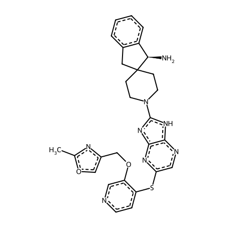 Cc1nc(COc2cnccc2Sc2cnc3[nH]c(N4CCC5(CC4)Cc4ccccc4[C@H]5N)nc3n2)co1